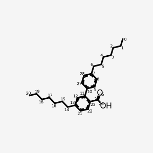 CCCCCCCc1ccc(-c2cc(CCCCCCC)ccc2C(=O)O)cc1